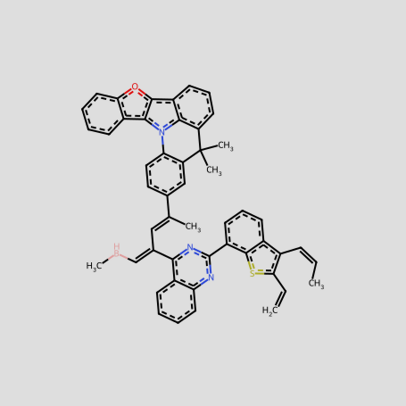 C=Cc1sc2c(-c3nc(C(/C=C(\C)c4ccc5c(c4)C(C)(C)c4cccc6c7oc8ccccc8c7n-5c46)=C/BC)c4ccccc4n3)cccc2c1/C=C\C